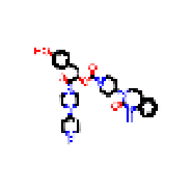 CN1CCC(N2CCN(C(=O)[C@@H](Cc3ccc(O)cc3)OC(=O)N3CCC(N4CCc5ccccc5NC4=O)CC3)CC2)CC1